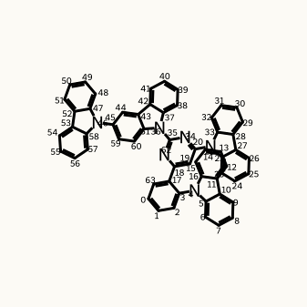 c1ccc(-n2c3ccccc3c3ccccc32)c(-c2cc(-n3c4ccccc4c4ccccc43)nc(-n3c4ccccc4c4cc(-n5c6ccccc6c6ccccc65)ccc43)n2)c1